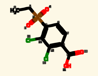 CCS(=O)(=O)c1ccc(C(=O)O)c(Cl)c1Cl